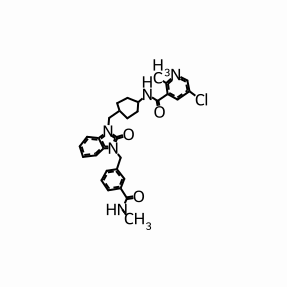 CNC(=O)c1cccc(Cn2c(=O)n(CC3CCC(NC(=O)c4cc(Cl)cnc4C)CC3)c3ccccc32)c1